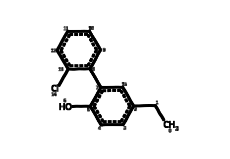 CCc1ccc(O)c(-c2ccccc2Cl)c1